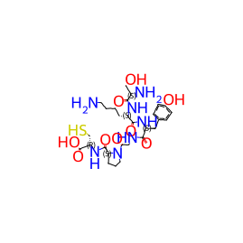 NCCCC[C@H](NC(=O)[C@@H](N)CO)C(=O)N[C@@H](Cc1ccc(O)cc1)C(=O)NCC(=O)N1CCC[C@H]1C(=O)N[C@@H](CS)C(=O)O